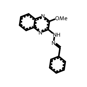 COc1nc2ccccc2nc1N/N=C/c1ccccc1